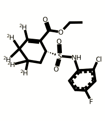 [2H]C1=C(C(=O)OCC)[C@H](S(=O)(=O)Nc2ccc(F)cc2Cl)CC([2H])([2H])C1([2H])[2H]